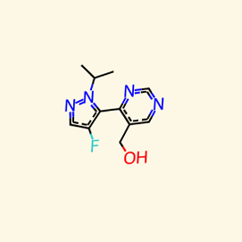 CC(C)n1ncc(F)c1-c1ncncc1CO